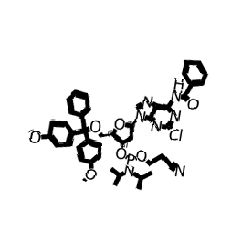 COc1ccc(C(OC[C@H]2O[C@@H](n3cnc4c(NC(=O)c5ccccc5)nc(Cl)nc43)C[C@@H]2OP(OCCC#N)N(C(C)C)C(C)C)(c2ccccc2)c2ccc(OC)cc2)cc1